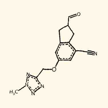 Cn1nnc(COc2cc(C#N)c3c(c2)CC(C=O)C3)n1